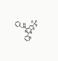 FC(F)(F)c1cc2c(NCc3ccccc3)nc(-c3ccccn3)nc2s1